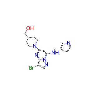 OCC1CCN(c2cc(NCc3cccnc3)n3ncc(Br)c3n2)CC1